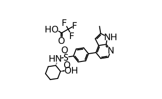 Cc1cc2c(-c3ccc(S(=O)(=O)N[C@H]4CCCC[C@@H]4O)cc3)ccnc2[nH]1.O=C(O)C(F)(F)F